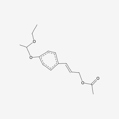 CCOC(C)Oc1ccc(/C=C/COC(C)=O)cc1